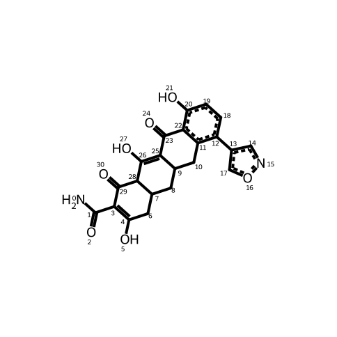 NC(=O)C1=C(O)CC2CC3Cc4c(-c5cnoc5)ccc(O)c4C(=O)C3=C(O)C2C1=O